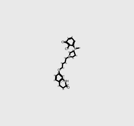 CN(c1cccc(Cl)c1Cl)[C@@H]1CCN(CCCCOc2ccc3c(c2)NC(=O)CC3)C1